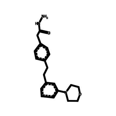 NNC(=O)Cc1ccc(CCc2cccc(N3CCOCC3)c2)cc1